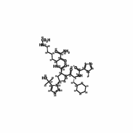 Cn1cncc1C(=O)N[C@H](CC1CCCCC1)C(=O)N1C[C@@H](n2nncc2C(C)(C)O)C[C@H]1C(=O)NC(CCCCNC(=O)O)C(=O)C(N)=O